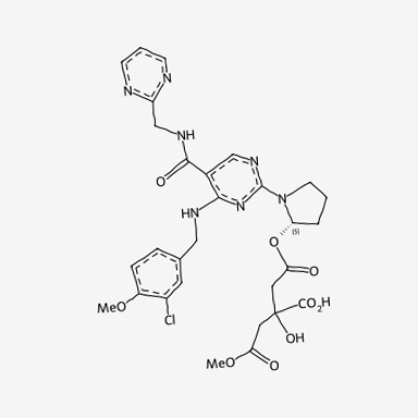 COC(=O)CC(O)(CC(=O)O[C@H]1CCCN1c1ncc(C(=O)NCc2ncccn2)c(NCc2ccc(OC)c(Cl)c2)n1)C(=O)O